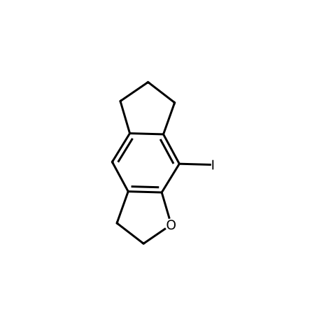 Ic1c2c(cc3c1OCC3)CCC2